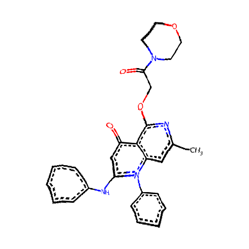 Cc1cc2c(c(OCC(=O)N3CCOCC3)n1)c(=O)cc(Nc1ccccc1)n2-c1ccccc1